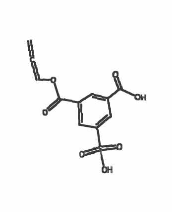 C=C=COC(=O)c1cc(C(=O)O)cc(S(=O)(=O)O)c1